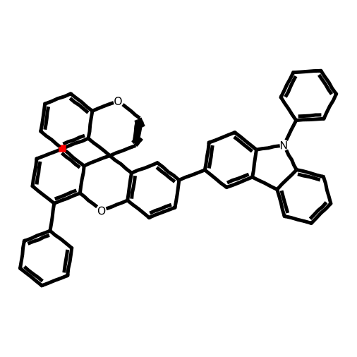 c1ccc(-c2cccc3c2Oc2ccc(-c4ccc5c(c4)c4ccccc4n5-c4ccccc4)cc2C32c3ccccc3Oc3ccccc32)cc1